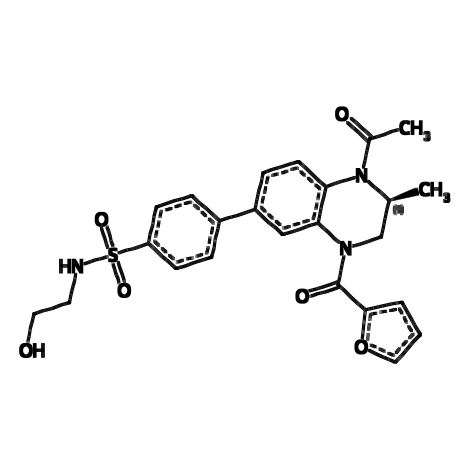 CC(=O)N1c2ccc(-c3ccc(S(=O)(=O)NCCO)cc3)cc2N(C(=O)c2ccco2)C[C@@H]1C